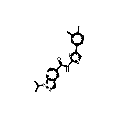 Cc1ccc(-c2csc(NC(=O)c3cnc4c(cnn4C(C)C)c3)n2)cc1C